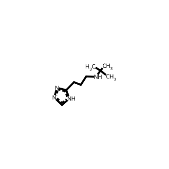 CC(C)(C)NCCCc1nnc[nH]1